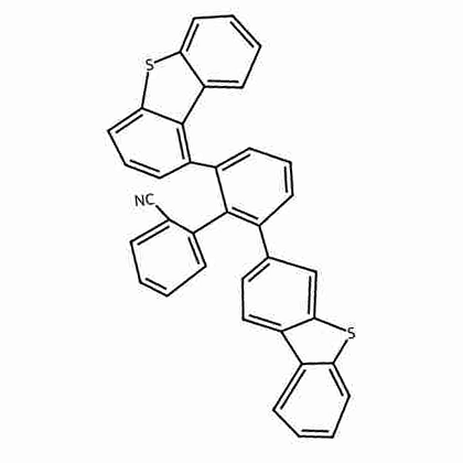 N#Cc1ccccc1-c1c(-c2ccc3c(c2)sc2ccccc23)cccc1-c1cccc2sc3ccccc3c12